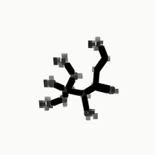 CCCC(=O)N(C)[Si](O)(OC)OC